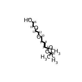 CC(C)(C)OC(=O)/C=C/CCOCCOCCO